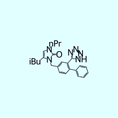 CCCn1cc(C(C)CC)n(Cc2ccc(-c3ccccc3)c(-c3nnn[nH]3)c2)c1=O